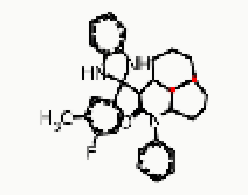 Cc1cc(C2(C(C(=O)N(c3ccccc3)C3CCCCC3)C3CCCCC3)Nc3ccccc3N2)ccc1F